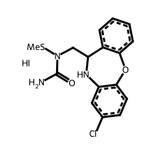 CSN(CC1Nc2cc(Cl)ccc2Oc2ccccc21)C(N)=O.I